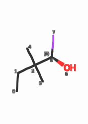 CCC(C)(C)[C@H](O)I